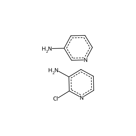 Nc1cccnc1.Nc1cccnc1Cl